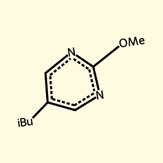 CCC(C)c1cnc(OC)nc1